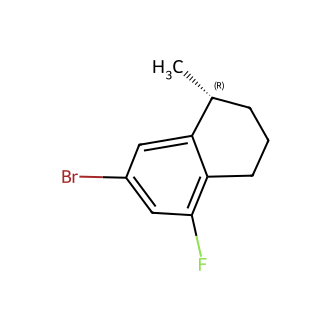 C[C@@H]1CCCc2c(F)cc(Br)cc21